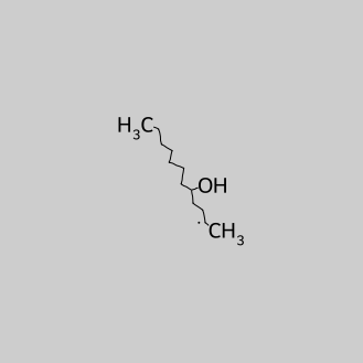 C[CH]CCC(O)CCCCCCC